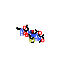 C=CCNC(=O)C(=O)C(CCC)NC(=O)[C@@H]1CC2(CN1C(=O)C(NC(=O)C(NC(C)=O)C(C)C)C(C)C)SCCS2